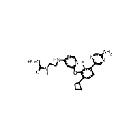 CC(C)(C)OC(=O)NCCNc1cc(Oc2c(C3CCC3)ccc(-c3cnc(N)cn3)c2F)ncn1